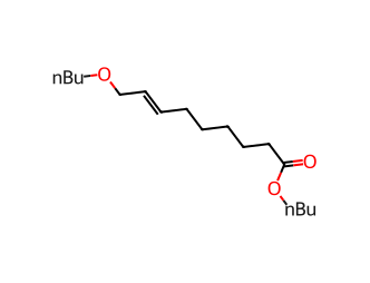 CCCCOCC=CCCCCCC(=O)OCCCC